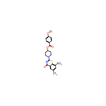 CCOc1ccc(C(=O)OC2CCN(c3nc(=O)c4cc(C(F)(F)F)cc([N+](=O)[O-])c4s3)CC2)cc1